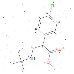 COC(=O)C(CNC(C)(C)C)c1ccc(Cl)cc1